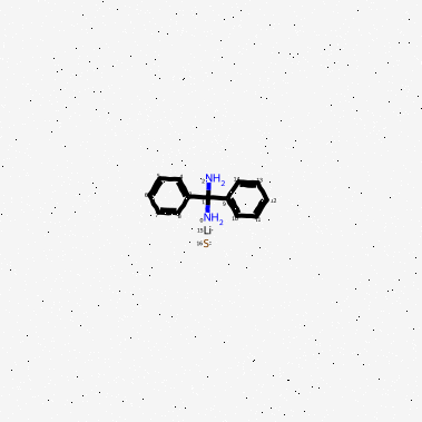 NC(N)(c1ccccc1)c1ccccc1.[Li].[S]